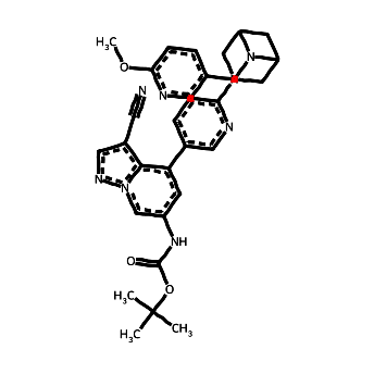 COc1ccc(CN2C3CC2CN(c2ccc(-c4cc(NC(=O)OC(C)(C)C)cn5ncc(C#N)c45)cn2)C3)cn1